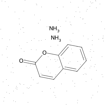 N.N.O=c1ccc2ccccc2o1